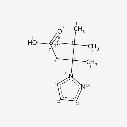 CC(C)(C)C(C)(CC(=O)O)n1cccn1